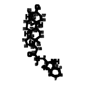 CN(Cc1nc2ccccc2[nH]1)C(=O)C[C@H]1CC[C@H]2[C@@H]3CC[C@H]4N(C)C(=O)C=C[C@]4(C)[C@H]3CC[C@]12C